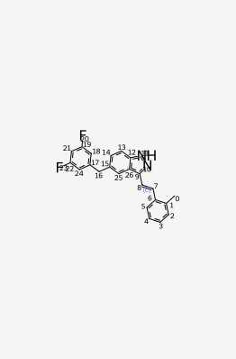 Cc1ccccc1/C=C/c1n[nH]c2ccc(Cc3cc(F)cc(F)c3)cc12